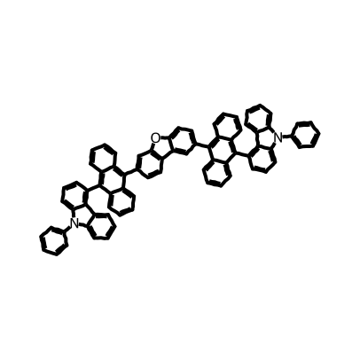 c1ccc(-n2c3ccccc3c3c(-c4c5ccccc5c(-c5ccc6c(c5)oc5ccc(-c7c8ccccc8c(-c8cccc9c8c8ccccc8n9-c8ccccc8)c8ccccc78)cc56)c5ccccc45)cccc32)cc1